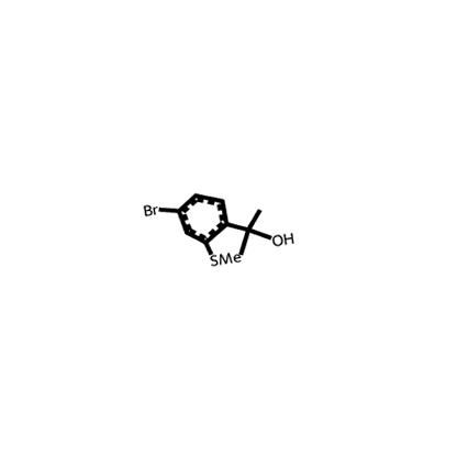 CSc1cc(Br)ccc1C(C)(C)O